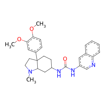 COc1ccc(C23CCC(NC(=O)Nc4cnc5ccccc5c4)CC2N(C)CC3)cc1OC